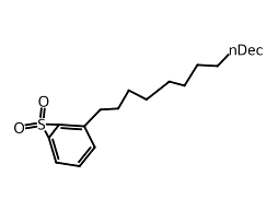 CCCCCCCCCCCCCCCCCCc1cccc2c1S2(=O)=O